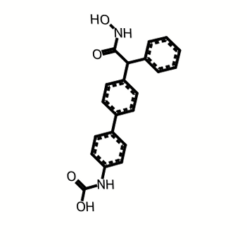 O=C(O)Nc1ccc(-c2ccc(C(C(=O)NO)c3ccccc3)cc2)cc1